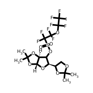 CC1(C)OCC([C@H]2O[C@@H]3OC(C)(C)O[C@H]3C2OS(=O)(=O)C(F)(F)C(F)(F)OC(F)(F)C(F)(F)I)O1